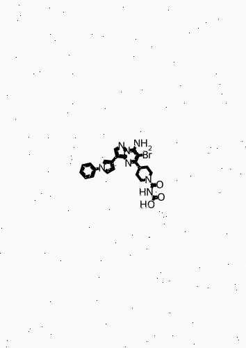 Nc1c(Br)c(C2CCN(C(=O)NC(=O)O)CC2)nc2c(-c3ccn(-c4ccccc4)c3)cnn12